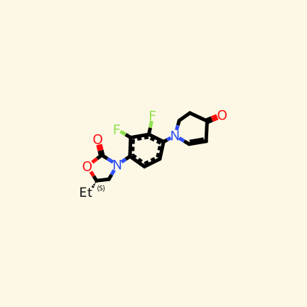 CC[C@H]1CN(c2ccc(N3C=CC(=O)CC3)c(F)c2F)C(=O)O1